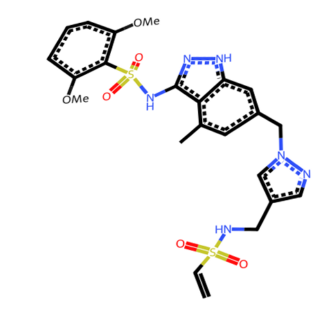 C=CS(=O)(=O)NCc1cnn(Cc2cc(C)c3c(NS(=O)(=O)c4c(OC)cccc4OC)n[nH]c3c2)c1